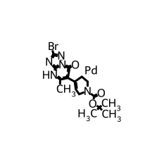 Cc1[nH]c2nc(Br)nn2c(=O)c1C1=CCN(C(=O)OC(C)(C)C)CC1.[Pd]